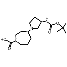 CC(C)(C)OC(=O)N[C@@H]1CCN([C@H]2CCCN(C(=O)O)CC2)C1